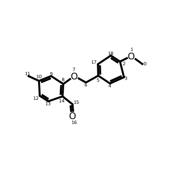 COc1ccc(COc2cc(C)ccc2C=O)cc1